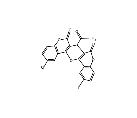 CC(=O)C1c2c(c3cc(Cl)ccc3oc2=O)Oc2c1c(=O)oc1ccc(Cl)cc21